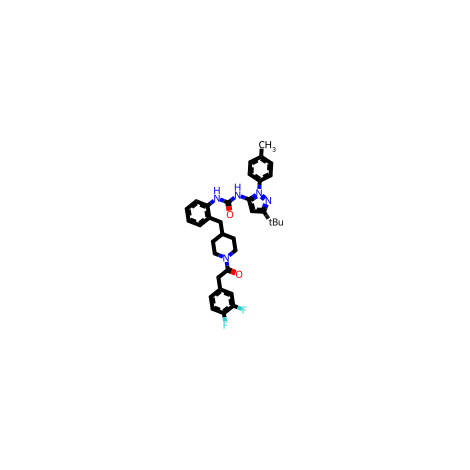 Cc1ccc(-n2nc(C(C)(C)C)cc2NC(=O)Nc2ccccc2CC2CCN(C(=O)Cc3ccc(F)c(F)c3)CC2)cc1